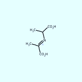 C/C(=N\C(C)C(=O)O)C(=O)O